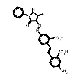 CC1NN(c2ccccc2)C(=O)C1N=Nc1ccc(C=Cc2ccc(N)cc2S(=O)(=O)O)c(S(=O)(=O)O)c1